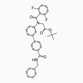 CC(C)(C)OC(=O)CN(C(=O)c1c(F)cccc1F)c1cccc(-c2ccc(C(=O)NCc3ccccc3)cc2)c1